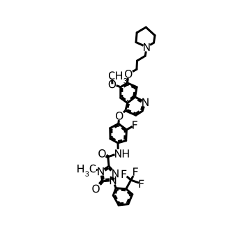 COc1cc2c(Oc3ccc(NC(=O)c4nn(-c5ccccc5C(F)(F)F)c(=O)n4C)cc3F)ccnc2cc1OCCCN1CCCCC1